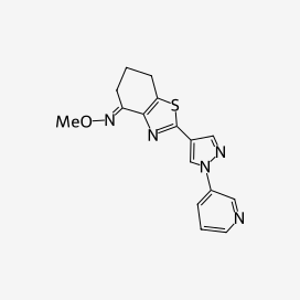 CO/N=C1\CCCc2sc(-c3cnn(-c4cccnc4)c3)nc21